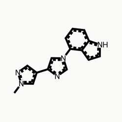 Cn1cc(-c2cn(-c3cccc4[nH]ccc34)cn2)cn1